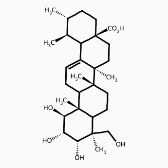 C[C@@H]1CC[C@]2(C(=O)O)CC[C@]3(C)C(=CCC4[C@]5(C)C(CC[C@]43C)[C@@](C)(CO)[C@H](O)[C@H](O)[C@H]5O)C2[C@H]1C